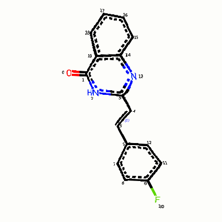 O=c1[nH]c(/C=C/c2ccc(F)cc2)nc2ccccc12